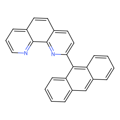 c1ccc2c(-c3ccc4ccc5cccnc5c4n3)c3ccccc3cc2c1